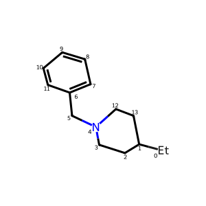 CCC1CCN(Cc2ccccc2)CC1